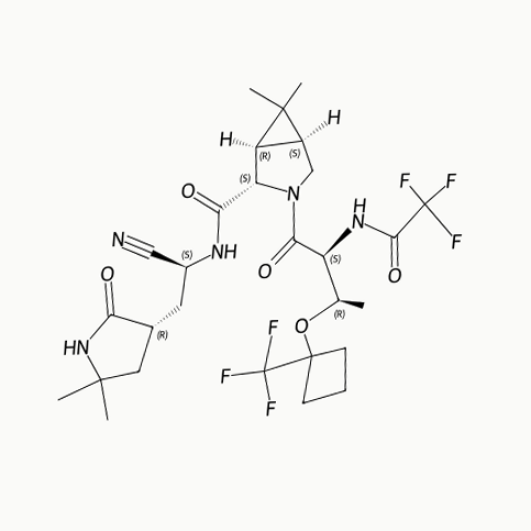 C[C@@H](OC1(C(F)(F)F)CCC1)[C@H](NC(=O)C(F)(F)F)C(=O)N1C[C@H]2[C@@H]([C@H]1C(=O)N[C@H](C#N)C[C@@H]1CC(C)(C)NC1=O)C2(C)C